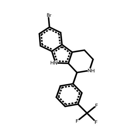 FC(F)(F)c1cccc(C2NCCc3c2[nH]c2ccc(Br)cc32)c1